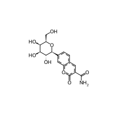 NC(=O)c1cc2ccc([C@@H]3O[C@H](CO)[C@H](O)[C@H](O)[C@H]3O)cc2oc1=O